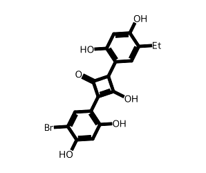 CCc1cc(C2C(=O)C(c3cc(Br)c(O)cc3O)=C2O)c(O)cc1O